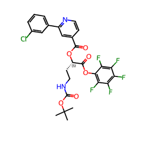 CC(C)(C)OC(=O)NCC[C@H](OC(=O)c1ccnc(-c2cccc(Cl)c2)c1)C(=O)Oc1c(F)c(F)c(F)c(F)c1F